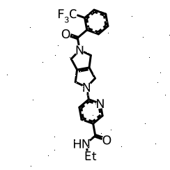 CCNC(=O)c1ccc(N2CC3=C(CN(C(=O)c4ccccc4C(F)(F)F)C3)C2)nc1